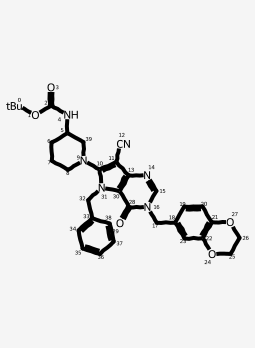 CC(C)(C)OC(=O)NC1CCCN(c2c(C#N)c3ncn(Cc4ccc5c(c4)OCCO5)c(=O)c3n2Cc2ccccc2)C1